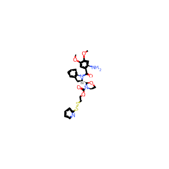 COc1cc(N)c(C(=O)N2c3ccccc3C[C@H]2C2OCCN2C(=O)OCCSSc2ccccn2)cc1OC